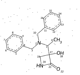 CC(N(Cc1ccccc1)Cc1ccccc1)C1(O)CNC1=O